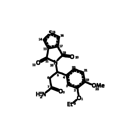 CCOc1cc(C(CC(N)=O)N2C(=O)c3cscc3C2=O)ccc1OC